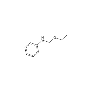 CCOC[SiH]c1ccccc1